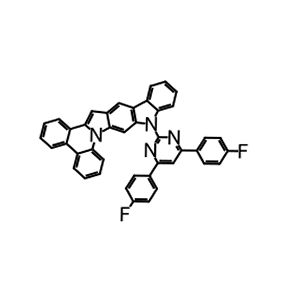 Fc1ccc(-c2cc(-c3ccc(F)cc3)nc(-n3c4ccccc4c4cc5cc6c7ccccc7c7ccccc7n6c5cc43)n2)cc1